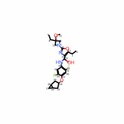 CCc1oc(N2CC(CC)(OC)C2)nc1C(O)Nc1cc(F)c(OC2CC3CC3C2)cc1F